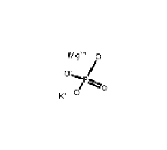 O=P([O-])([O-])[O-].[K+].[Mg+2]